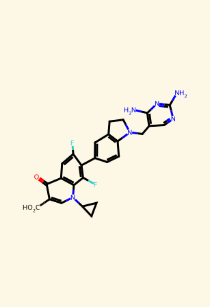 Nc1ncc(CN2CCc3cc(-c4c(F)cc5c(=O)c(C(=O)O)cn(C6CC6)c5c4F)ccc32)c(N)n1